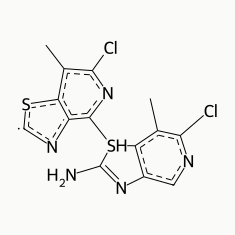 Cc1c(Cl)ncc2c1[SH](c1nc(Cl)c(C)c3s[c]nc13)C(N)=N2